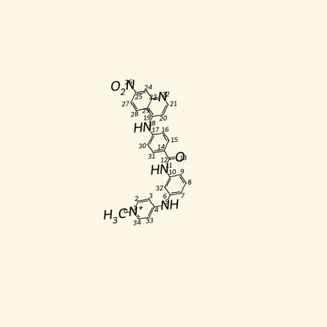 C[n+]1ccc(Nc2cccc(NC(=O)c3ccc(Nc4ccnc5cc([N+](=O)[O-])ccc45)cc3)c2)cc1